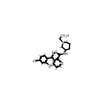 O=C(O)CN1CCCC(Nc2nnc(-c3ccc(Cl)cc3O)c3cccnc23)C1